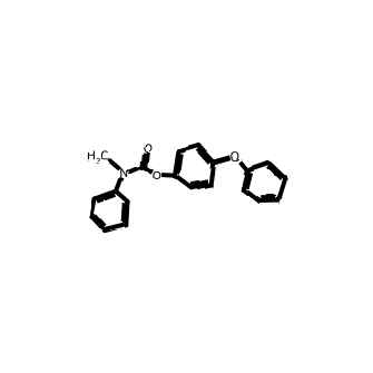 CN(C(=O)Oc1ccc(Oc2ccccc2)cc1)c1ccccc1